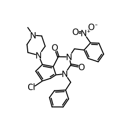 CN1CCN(c2cc(Cl)cc3c2c(=O)n(Cc2ccccc2[N+](=O)[O-])c(=O)n3Cc2ccccc2)CC1